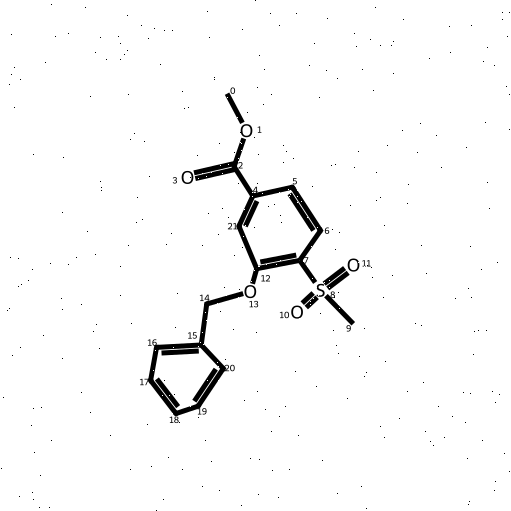 COC(=O)c1ccc(S(C)(=O)=O)c(OCc2ccccc2)c1